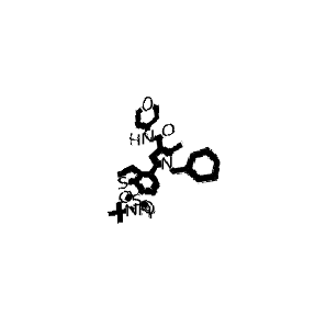 Cc1c(C(=O)NC2CCOCC2)cc(-c2ccc(S(=O)(=O)NC(C)(C)C)c3sccc23)n1CC1CCCCC1